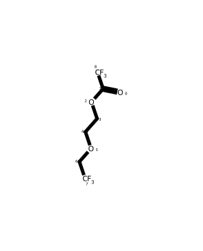 O=C(OCCOCC(F)(F)F)C(F)(F)F